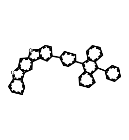 c1ccc(-c2c3ccccc3c(-c3ccc(-c4ccc5oc6cc7oc8ccccc8c7cc6c5c4)cc3)c3ccccc23)cc1